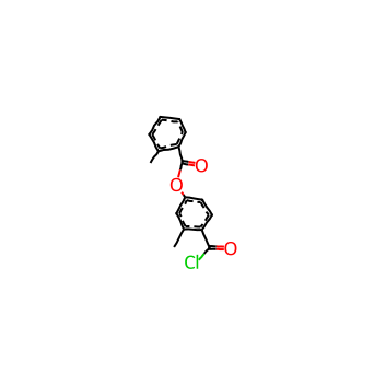 Cc1cc(OC(=O)c2ccccc2C)ccc1C(=O)Cl